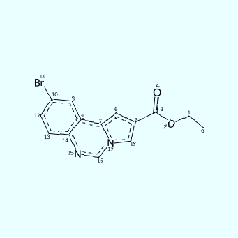 CCOC(=O)c1cc2c3cc(Br)ccc3ncn2c1